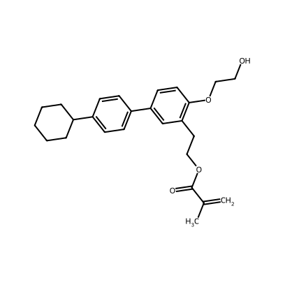 C=C(C)C(=O)OCCc1cc(-c2ccc(C3CCCCC3)cc2)ccc1OCCO